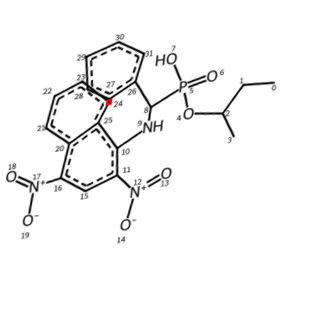 CCC(C)OP(=O)(O)C(Nc1c([N+](=O)[O-])cc([N+](=O)[O-])c2ccccc12)c1ccccc1